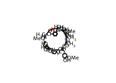 CO[C@H]1C[C@@H]2CC[C@@H](C)[C@@](O)(O2)C(=O)C(=O)N2CCCCC2C(=O)O[C@H]([C@H](C)C[C@@H]2CC[C@@H](O)[C@H](OC)C2)CC(=O)[C@H](C)/C=C(\C)[C@@H](O)[C@@H](OC)C(=O)[C@H](C)C[C@H](C)C2C=CC(/C=C/1C)ON2c1c(Cl)cccc1Cl